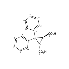 O=C(O)[C@H]1[C@H](C(=O)O)C1(c1ccccc1)c1ccccc1